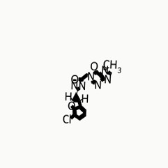 Cn1cnc2ncn(Cc3nc([C@H]4[C@@H]5Oc6c(Cl)cccc6[C@@H]54)no3)c(=O)c21